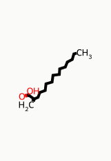 C=C(CCCCCCCCCCCCC)C(=O)O